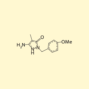 COc1ccc(Cn2[nH]c(N)c(C)c2=O)cc1